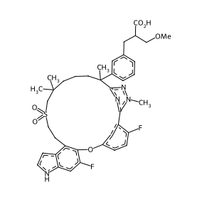 COCC(Cc1cccc(C2(C)CCCC(C)(C)CS(=O)(=O)CCc3c(c(F)cc4[nH]ccc34)Oc3ccc(F)c(c3)-c3nc2nn3C)c1)C(=O)O